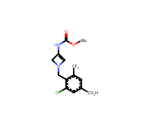 CC(C)(C)OC(=O)NC1=CN(Cc2c(Cl)cc(C(=O)O)cc2C(F)(F)F)C1